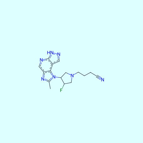 Cc1nc2cnc3[nH]ncc3c2n1C1CN(CCCC#N)CC1F